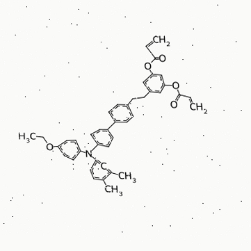 C=CC(=O)Oc1cc(CCc2ccc(-c3ccc(N(c4ccc(OCC)cc4)c4ccc(C)c(C)c4)cc3)cc2)cc(OC(=O)C=C)c1